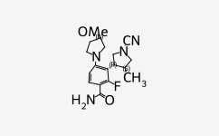 CO[C@@H]1CCN(c2ccc(C(N)=O)c(F)c2[C@@H]2CN(C#N)C[C@H]2C)C1